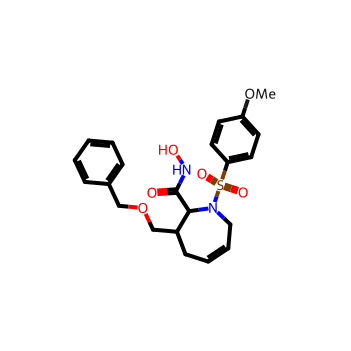 COc1ccc(S(=O)(=O)N2CC=CCC(COCc3ccccc3)C2C(=O)NO)cc1